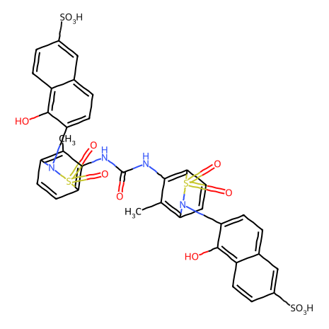 Cc1c2ccc(c1NC(=O)Nc1c3ccc(c1C)N(c1ccc4cc(S(=O)(=O)O)ccc4c1O)S3(=O)=O)S(=O)(=O)N2c1ccc2cc(S(=O)(=O)O)ccc2c1O